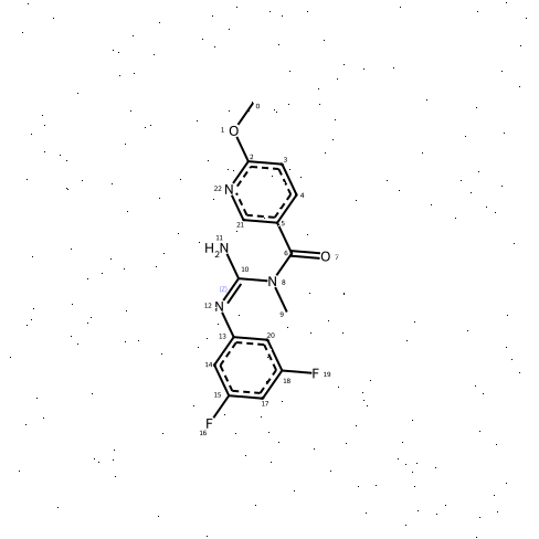 COc1ccc(C(=O)N(C)/C(N)=N\c2cc(F)cc(F)c2)cn1